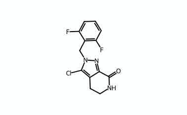 O=C1NCCc2c1nn(Cc1c(F)cccc1F)c2Cl